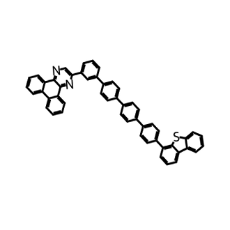 c1cc(-c2ccc(-c3ccc(-c4ccc(-c5cccc6c5sc5ccccc56)cc4)cc3)cc2)cc(-c2cnc3c4ccccc4c4ccccc4c3n2)c1